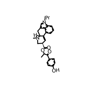 CC(OC(=O)[C@@H]1C=C2c3cccc4c3c(cn4C(C)C)C[C@H]2N(C)C1)C(=O)c1ccc(O)cc1